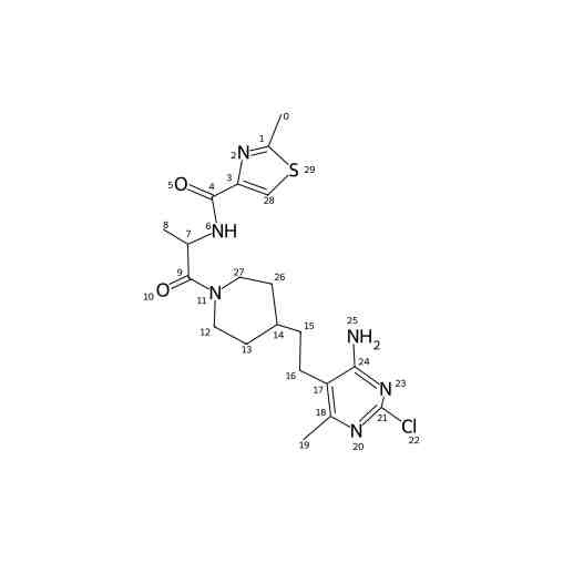 Cc1nc(C(=O)NC(C)C(=O)N2CCC(CCc3c(C)nc(Cl)nc3N)CC2)cs1